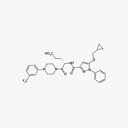 O=C(O)CC[C@H](NC(=O)c1cc(OCC2CC2)n(-c2ccccc2)n1)C(=O)N1CCN(c2cccc(C(F)(F)F)c2)CC1